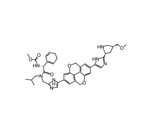 COC[C@@H]1CN[C@H](c2ncc(-c3cc4c5c(c3)OCc3cc(-c6cnc(CN(CC(C)C)C(=O)[C@H](NC(=O)OC)C7=CCCC=C7)[nH]6)cc(c3-5)OC4)[nH]2)C1